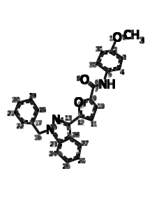 COc1ccc(NC(=O)c2ccc(-c3nn(Cc4ccccc4)c4ccccc34)o2)cc1